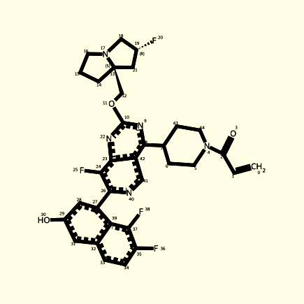 C=CC(=O)N1CCC(c2nc(OC[C@@]34CCCN3C[C@H](F)C4)nc3c(F)c(-c4cc(O)cc5ccc(F)c(F)c45)ncc23)CC1